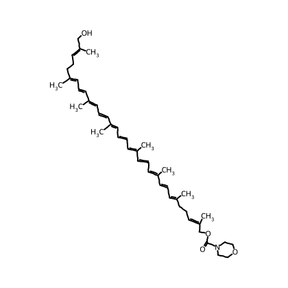 CC(/C=C/C=C(C)/C=C/C=C(\C)CC/C=C(\C)CO)=C\C=C\C=C(C)\C=C\C=C(C)\C=C\C=C(/C)CC/C=C(\C)COC(=O)N1CCOCC1